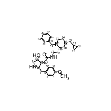 COc1ccc(C[C@H]2NC[C@H](O)[C@H]2OC(=O)NCC[C@H]2CN(CC3CC3)CCN2Cc2ccccc2)cc1